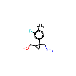 Cc1ccc(C2(CN)CC2CO)cc1F